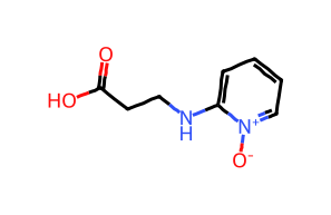 O=C(O)CCNc1cccc[n+]1[O-]